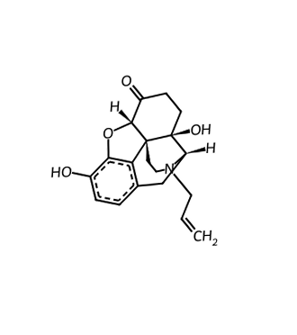 C=CCN1CC[C@@]23c4c5ccc(O)c4O[C@@H]2C(=O)CC[C@]3(O)[C@@H]1C5